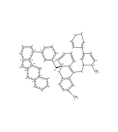 Cc1ccc2c(c1)C(CC1C=C(C3=CCCC=C3)C=CC1C)=C1C=CC=C[C@@]1(Cc1cccc(-c3cccc4sc5cc6ccccc6cc5c34)c1)C2